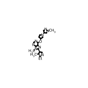 CCn1ncc(-c2nc3c(Oc4ccn(-c5cnn(C)c5)c4)ncnc3n2C)c1C